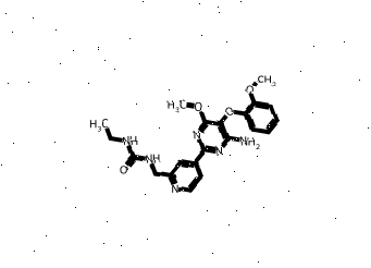 CCNC(=O)NCc1cc(-c2nc(N)c(Oc3ccccc3OC)c(OC)n2)ccn1